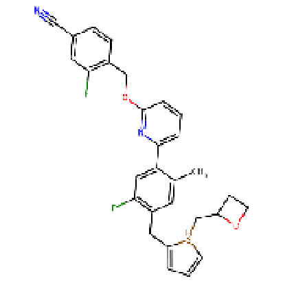 Cc1cc(CC2=CC=C[SH]2CC2CCO2)c(F)cc1-c1cccc(OCc2ccc(C#N)cc2F)n1